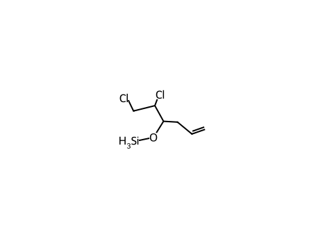 C=CCC(O[SiH3])C(Cl)CCl